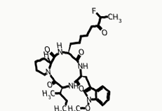 CCC(C)[C@@H]1NC(=O)[C@H](Cc2cn(OC)c3ccccc23)NC(=O)[C@H](CCCCCC(=O)C(C)F)NC(=O)[C@H]2CCCCN2C1=O